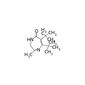 CC1=NC(C(C)(C)C)=C(C(C)(C)C)C(=O)NC1